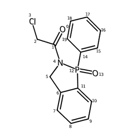 O=C(CCl)N1Cc2ccccc2P1(=O)c1ccccc1